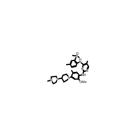 COc1cc(N2CCC(N3CCN(C)CC3)CC2)c(C)cc1Nc1ncc(C)c(Nc2ccc(C)cc2P(C)(C)=O)n1